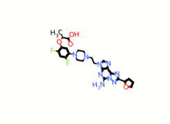 C[C@H](Oc1cc(N2CCN(CCn3cnc4c3nc(N)n3nc(-c5ccco5)nc43)CC2)c(F)cc1F)C(=O)O